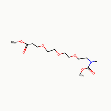 CN(CCOCCOCCOCCC(=O)OC(C)(C)C)C(=O)OC(C)(C)C